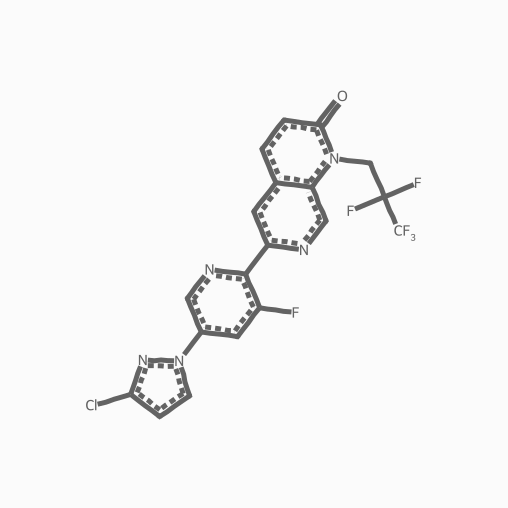 O=c1ccc2cc(-c3ncc(-n4ccc(Cl)n4)cc3F)ncc2n1CC(F)(F)C(F)(F)F